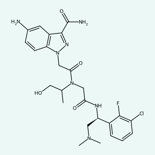 CC(CO)N(CC(=O)N[C@H](CN(C)C)c1cccc(Cl)c1F)C(=O)Cn1nc(C(N)=O)c2cc(N)ccc21